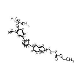 CCOC(=O)CCCn1cc2cc(-c3noc(-c4ccc(OC(C)C)c(C#N)c4)n3)ccc2n1